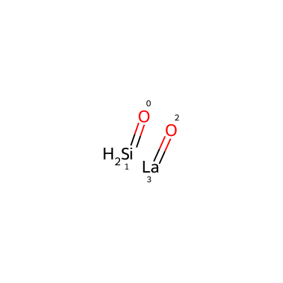 O=[SiH2].[O]=[La]